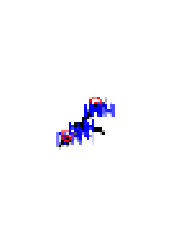 CCCNc1nc(Nc2cc(C)no2)ncc1CCCNC(=O)[C@H](C)NC